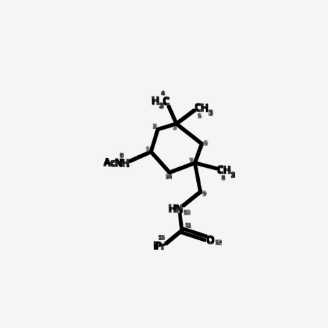 CC(=O)NC1CC(C)(C)CC(C)(CNC(=O)C(C)C)C1